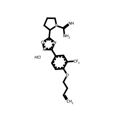 C=CCCOc1ccc(-c2noc(C3CCCN3C(=N)N)n2)cc1C(F)(F)F.Cl